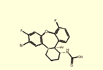 O=C(O)N[C@@H]1CCCN2c3cc(Br)c(F)cc3Oc3c(F)cccc3[C@@H]12